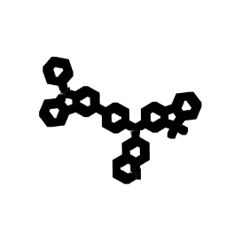 CC1(C)c2ccccc2-c2ccc(N(c3ccc(-c4ccc5c(c4)c4ccccc4n5-c4ccccc4)cc3)c3ccc4ncccc4c3)cc21